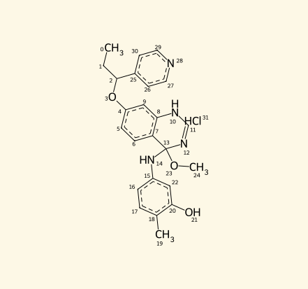 CCC(Oc1ccc2c(c1)NC=NC2(Nc1ccc(C)c(O)c1)OC)c1ccncc1.Cl